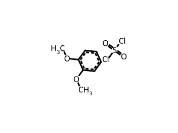 COc1ccccc1OC.O=S(=O)(Cl)Cl